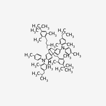 Cc1ccc(N(c2ccc3c(c2)[C@]24CC(CCc5c(C)cc(C(C)(C)C)cc5C)C[C@]2(CC(CCc2c(C)cc(C(C)(C)C)cc2C)C4)c2cc(N(c4ccc(C)cc4)c4c(C)cc(CC(C)C)cc4C)ccc2-3)c2c(C)cc(CC(C)C)cc2C)cc1